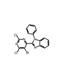 Clc1nc(Cl)c(Br)c(-c2nc3ccccc3n2-c2ccccc2)n1